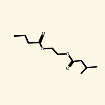 CCCC(=O)OCCOC(=O)CC(C)C